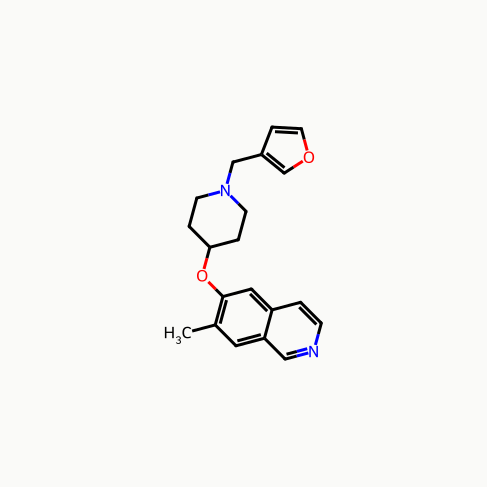 Cc1cc2cnccc2cc1OC1CCN(Cc2ccoc2)CC1